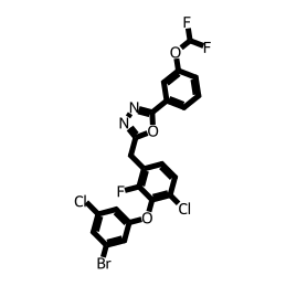 Fc1c(Cc2nnc(-c3cccc(OC(F)F)c3)o2)ccc(Cl)c1Oc1cc(Cl)cc(Br)c1